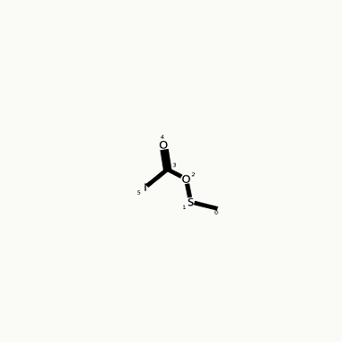 CSOC(=O)I